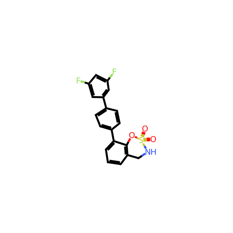 O=S1(=O)NCc2cccc(-c3ccc(-c4cc(F)cc(F)c4)cc3)c2O1